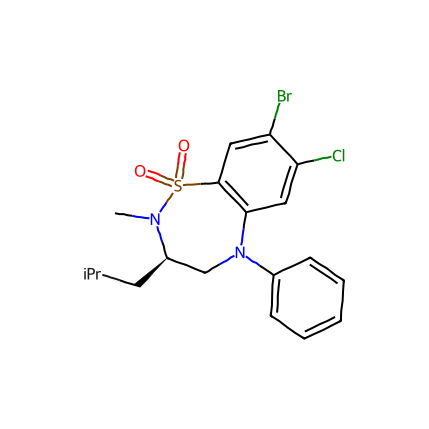 CC(C)C[C@@H]1CN(c2ccccc2)c2cc(Cl)c(Br)cc2S(=O)(=O)N1C